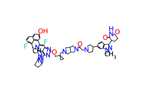 C#Cc1c(F)ccc2cc(O)cc(-c3ncc4c(N5CC6CCC(C5)N6)nc(OCC5(CN6CC7CN(C(=O)CN8CCC(c9ccc%10c(C%11CCC(=O)NC%11=O)nn(C)c%10c9)CC8)CC7C6)CC5)nc4c3F)c12